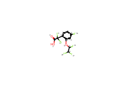 O=C(O)C(F)(F)c1ccc(F)cc1OC(F)C(F)F